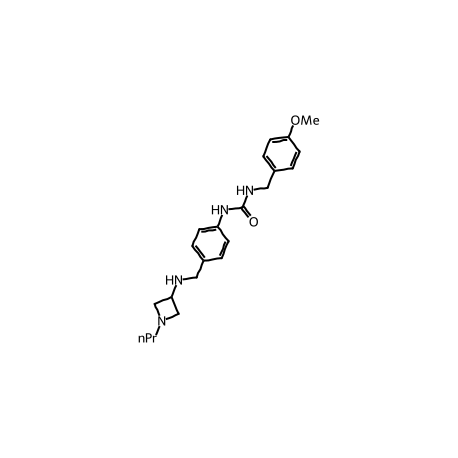 CCCN1CC(NCc2ccc(NC(=O)NCc3ccc(OC)cc3)cc2)C1